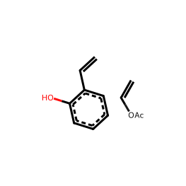 C=COC(C)=O.C=Cc1ccccc1O